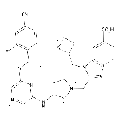 N#Cc1ccc(COc2cncc(NC3CCN(Cc4nc5ccc(C(=O)O)cc5n4CC4CCO4)C3)n2)c(F)c1